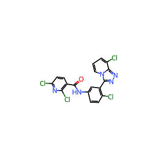 O=C(Nc1ccc(Cl)c(-c2nnc3c(Cl)cccn23)c1)c1ccc(Cl)nc1Cl